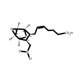 CC[S+]([O-])C[C@@H]1[C@H](C/C=C\CCCC(=O)O)[C@H]2O[C@@H]1[C@H]1O[C@H]12